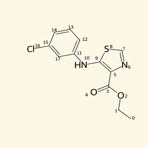 CCOC(=O)c1ncsc1Nc1cccc(Cl)c1